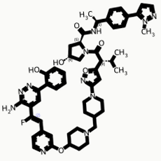 CC(C)[C@@H](C(=O)N1C[C@H](O)C[C@H]1C(=O)N[C@@H](C)c1ccc(-c2ccnn2C)cc1)c1cc(N2CCC(CN3CCC(Oc4cc(/C=C(\F)c5cc(-c6ccccc6O)nnc5N)ccn4)CC3)CC2)no1